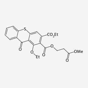 CCOC(=O)c1cc2sc3ccccc3c(=O)c2c(OCC)c1C(=O)OCCC(=O)OC